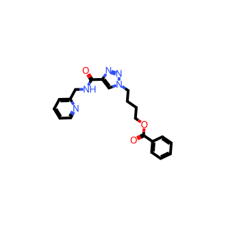 O=C(OCCCCn1cc(C(=O)NCc2ccccn2)nn1)c1ccccc1